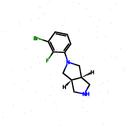 Fc1c(Br)cccc1N1C[C@H]2CNC[C@H]2C1